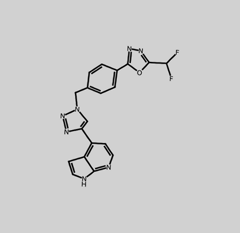 FC(F)c1nnc(-c2ccc(Cn3cc(-c4ccnc5[nH]ccc45)nn3)cc2)o1